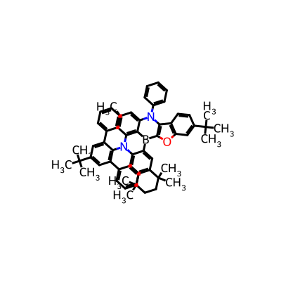 Cc1cc2c3c(c1)N(c1ccccc1)c1c(oc4cc(C(C)(C)C)ccc14)B3c1cc3c(cc1N2c1c(-c2ccccc2)cc(C(C)(C)C)cc1-c1ccccc1)C(C)(C)CCC3(C)C